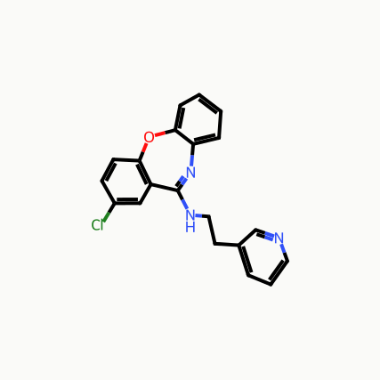 Clc1ccc2c(c1)C(NCCc1cccnc1)=Nc1ccccc1O2